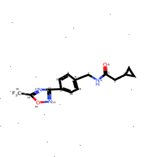 O=C(CC1CC1)NCc1ccc(-c2noc(C(F)(F)F)n2)cc1